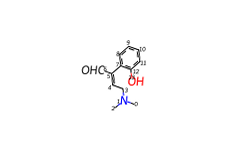 CN(C)C/C=C(/C=O)c1ccccc1O